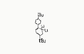 [Li][C]1([Li])CC(C(C)(C)C)=CC=C1c1ccc(C(C)(C)C)cc1